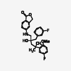 COc1ccc(F)cc1C(C)(C)CC(O)(CNc1ccc2c(c1)COC2=O)Cc1cccc(F)c1